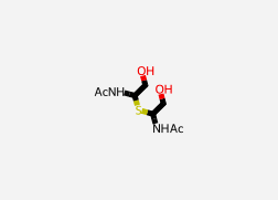 CC(=O)NC(CO)SC(CO)NC(C)=O